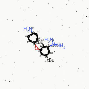 CC(C)(C)c1cc(Oc2ccc(N)cc2)c(C(C)(C)C)c(N(N)N)c1